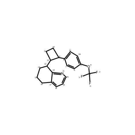 FC(F)(F)Oc1ccc([C]2CCC2C2CCCc3cccnc32)cc1